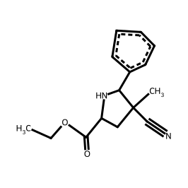 CCOC(=O)C1CC(C)(C#N)C(c2ccccc2)N1